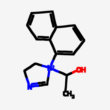 CC(O)[N+]1(c2cccc3ccccc23)C=NCC1